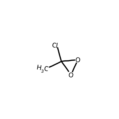 CC1(Cl)OO1